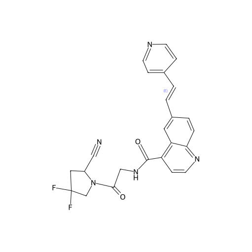 N#CC1CC(F)(F)CN1C(=O)CNC(=O)c1ccnc2ccc(/C=C/c3ccncc3)cc12